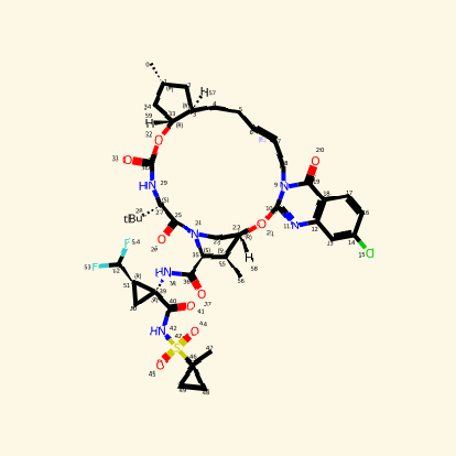 C[C@@H]1C[C@H]2CC/C=C/Cn3c(nc4cc(Cl)ccc4c3=O)O[C@H]3CN(C(=O)[C@H](C(C)(C)C)NC(=O)O[C@@H]2C1)[C@H](C(=O)N[C@]1(C(=O)NS(=O)(=O)C2(C)CC2)C[C@H]1C(F)F)[C@@H]3C